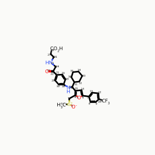 C[S+]([O-])Cc1oc(-c2ccc(C(F)(F)F)cc2)cc1C(Nc1ccc(C(=O)CNCCC(=O)O)cc1)C1CCCCC1